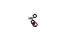 c1ccc(Nc2ccc3c(c2)C2CC4CC(CC3C4)C2)cc1